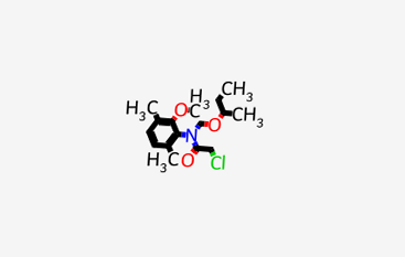 CCC(C)OCN(C(=O)CCl)c1c(C)ccc(C)c1OC